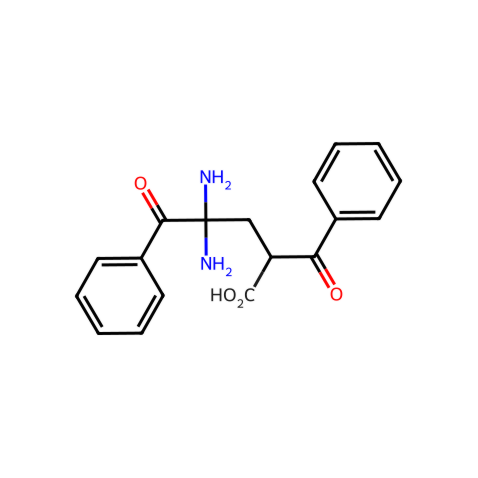 NC(N)(CC(C(=O)O)C(=O)c1ccccc1)C(=O)c1ccccc1